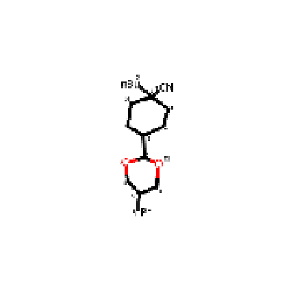 CCCCC1(C#N)CCC(C2OCC(CCC)CO2)CC1